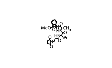 COC(OC)c1ccccc1NC(=O)[C@H](C)NC(=O)C(NC(=O)CCN1C(=O)C=CC1=O)C(C)C